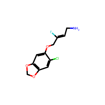 NC/C=C(\F)COc1cc2c(cc1Cl)OCO2